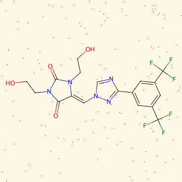 O=C1/C(=C/n2cnc(-c3cc(C(F)(F)F)cc(C(F)(F)F)c3)n2)N(CCO)C(=O)N1CCO